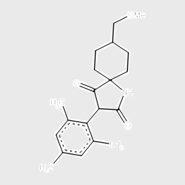 COCC1CCC2(CC1)NC(=O)C(c1c(C)cc(C)cc1C)C2=O